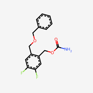 NC(=O)OCc1cc(F)c(F)cc1COCc1ccccc1